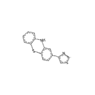 [c]1nc(-c2ccc3c(c2)Nc2ccccc2S3)cs1